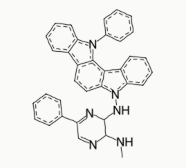 CNC1N=CC(c2ccccc2)=NC1Nn1c2ccccc2c2c1ccc1c3ccccc3n(-c3ccccc3)c12